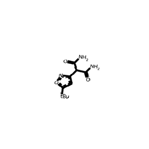 CC(C)(C)c1cc(C(C(N)=O)C(N)=O)no1